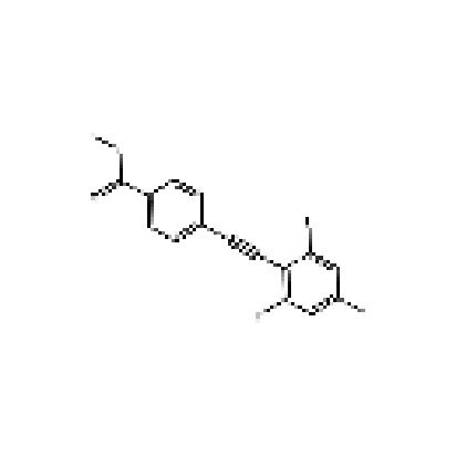 COC(=O)c1ccc(C#Cc2c(F)cc(C)cc2F)cc1